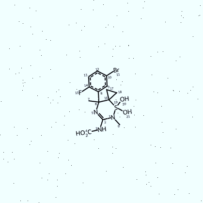 CN1C(NC(=O)O)=NC(C)(c2cc(Br)ccc2F)C2(CC2)S1(O)O